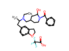 CCN(CC1CCN(C(=O)c2ccccc2)C(O)C1)C(C)Cc1ccc2c(c1)CCO2.O=C(O)C(F)(F)F